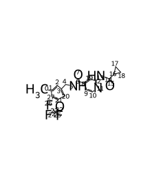 Cc1cc(CNC(=O)c2ccnc(NC(=O)C3CC3)c2)cc(OC(F)(F)F)c1